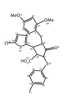 COc1ccc(CN2C(=O)C(Sc3ccc(C)cc3)C(C(=O)O)C2c2ccc(Cl)s2)c(OC)c1